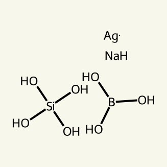 OB(O)O.O[Si](O)(O)O.[Ag].[NaH]